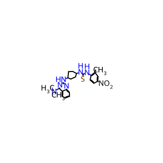 Cc1cc([N+](=O)[O-])ccc1NC(=S)NC1CCC(Nc2nc(N(C)C)c3ccccc3n2)CC1